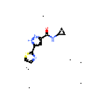 O=C(NC1CC1)c1cc(-c2nccs2)[nH]n1